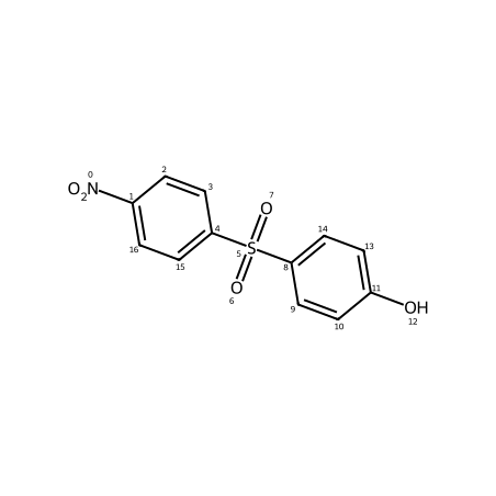 O=[N+]([O-])c1ccc(S(=O)(=O)c2ccc(O)cc2)cc1